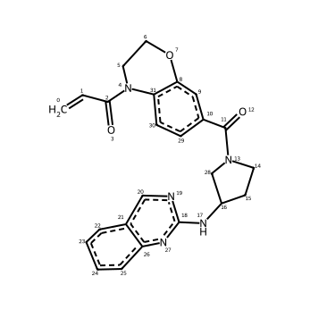 C=CC(=O)N1CCOc2cc(C(=O)N3CCC(Nc4ncc5ccccc5n4)C3)ccc21